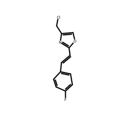 Fc1ccc(C=Cc2nc(CCl)co2)cc1